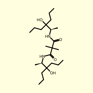 CCCC(O)(CCC)[C@@H](C)NC(=O)C(C)(C)C(=O)N[C@H](C)C(O)(CCC)CCC